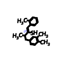 Cc1ccc(CC(C)/C(S)=C/c2ccccc2C)cc1C